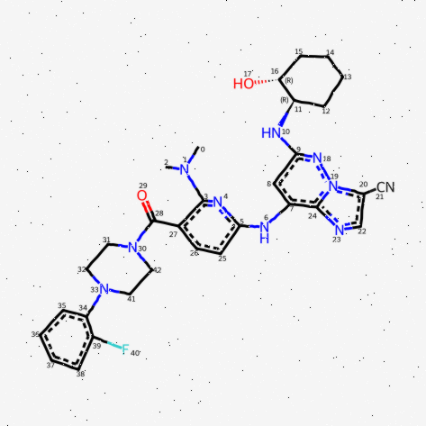 CN(C)c1nc(Nc2cc(N[C@@H]3CCCC[C@H]3O)nn3c(C#N)cnc23)ccc1C(=O)N1CCN(c2ccccc2F)CC1